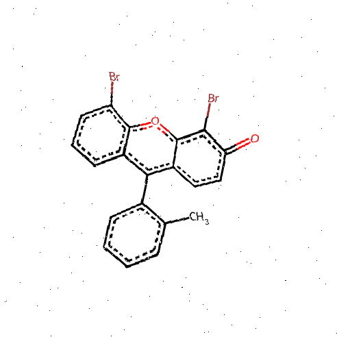 Cc1ccccc1-c1c2ccc(=O)c(Br)c-2oc2c(Br)cccc12